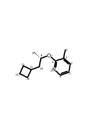 Cc1cccnc1O[C@@H](C)CC1CCC1